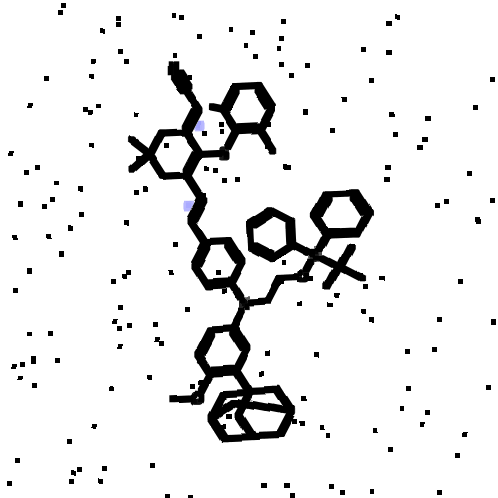 COc1ccc(N(CCO[Si](c2ccccc2)(c2ccccc2)C(C)(C)C)c2ccc(/C=C/C3=C(Sc4c(C)cccc4C)C(=C/C#N)/CC(C)(C)C3)cc2)cc1C12CC3CC(CC(C3)C1)C2